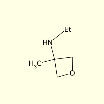 CCNC1(C)COC1